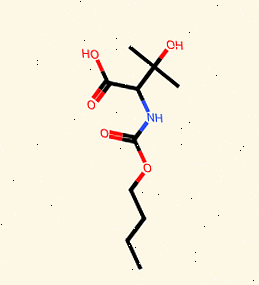 CCCCOC(=O)NC(C(=O)O)C(C)(C)O